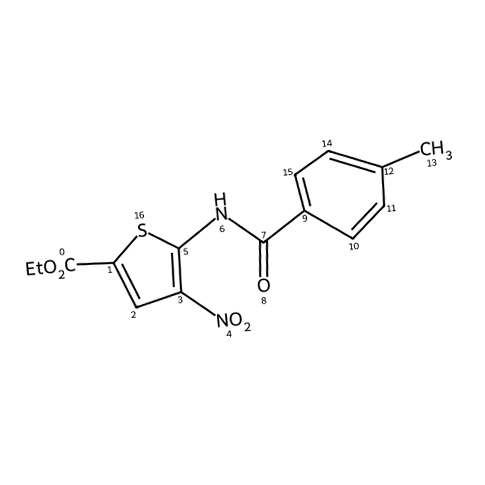 CCOC(=O)c1cc([N+](=O)[O-])c(NC(=O)c2ccc(C)cc2)s1